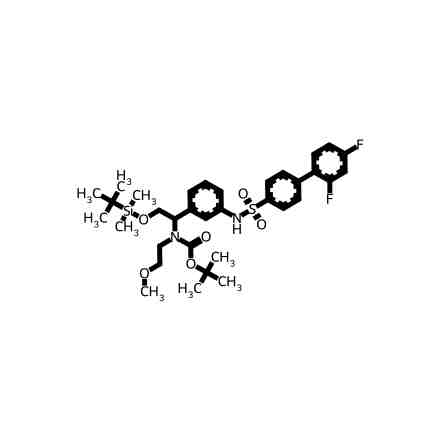 COCCN(C(=O)OC(C)(C)C)C(CO[Si](C)(C)C(C)(C)C)c1cccc(NS(=O)(=O)c2ccc(-c3ccc(F)cc3F)cc2)c1